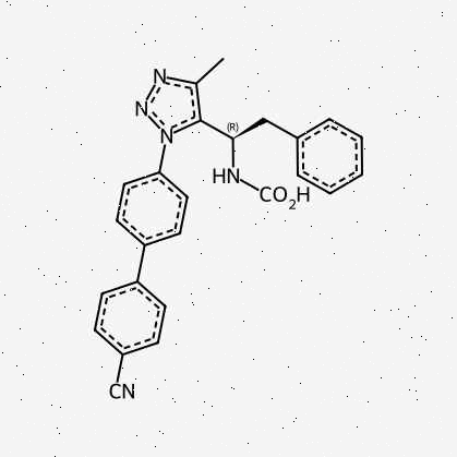 Cc1nnn(-c2ccc(-c3ccc(C#N)cc3)cc2)c1[C@@H](Cc1ccccc1)NC(=O)O